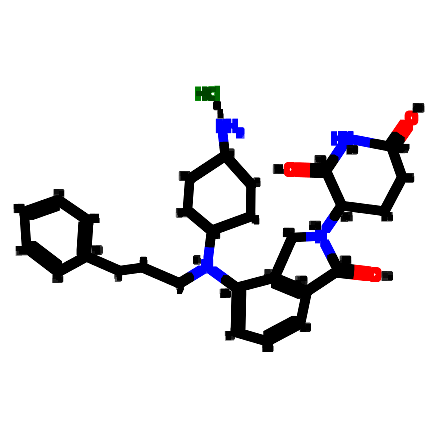 Cl.NC1CCC(N(CCCc2ccccc2)c2cccc3c2CN(C2CCC(=O)NC2=O)C3=O)CC1